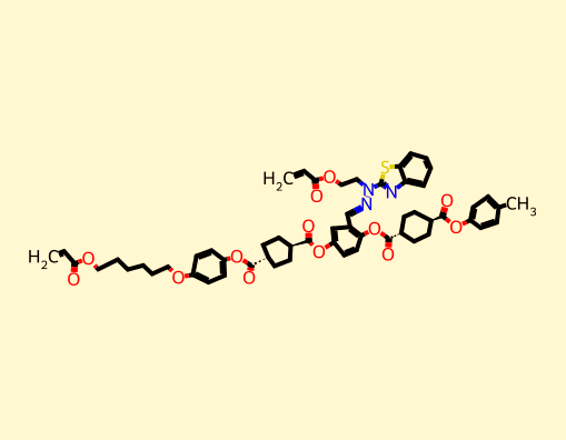 C=CC(=O)OCCCCCCOc1ccc(OC(=O)[C@H]2CC[C@H](C(=O)Oc3ccc(OC(=O)[C@H]4CC[C@H](C(=O)Oc5ccc(C)cc5)CC4)c(/C=N/N(CCOC(=O)C=C)c4nc5ccccc5s4)c3)CC2)cc1